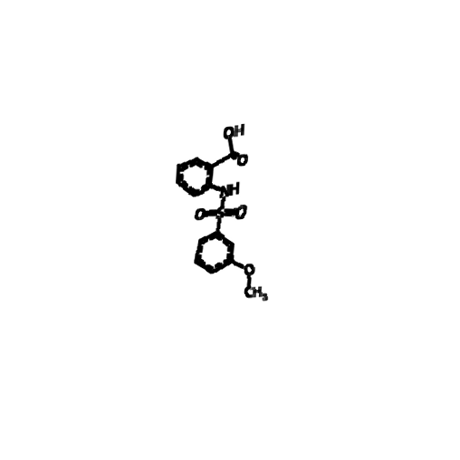 COc1cccc(S(=O)(=O)Nc2ccccc2C(=O)O)c1